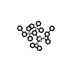 c1ccc(-c2cccc([Si](c3ccccc3)(c3ccccc3)c3cc(-c4cc(-n5c6ccccc6c6ccccc65)nc(-n5c6ccccc6c6cc(-c7ccccc7)ccc65)n4)cc([Si](c4ccccc4)(c4ccccc4)c4ccccc4)c3)c2)cc1